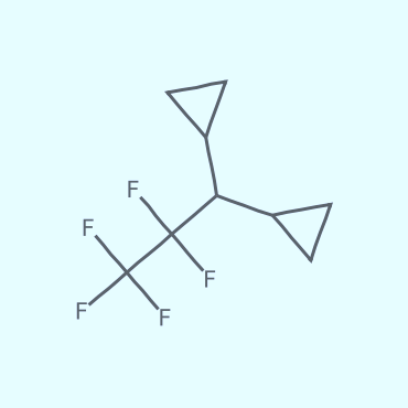 FC(F)(F)C(F)(F)C(C1CC1)C1CC1